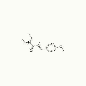 CCN(CC)C(=O)/C(C)=C/c1ccc(OC)cc1